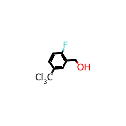 OCc1cc(C(Cl)(Cl)Cl)ccc1F